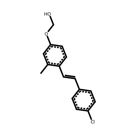 Cc1cc(OCO)ccc1/C=C/c1ccc(Cl)cc1